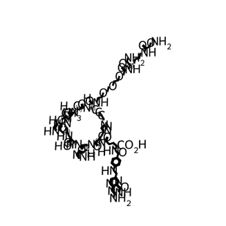 C[C@H](O)[C@H]1NC(=O)[C@@H](Cc2cnc[nH]2)NC(=O)[C@@H](CO)NC(=O)[C@@H](Cc2cnc[nH]2)NC(=O)[C@@H](NC(=O)CC[C@H](NC(=O)c2ccc(NCc3cnc4nc(N)[nH]c(=O)c4n3)cc2)C(=O)O)Cc2cn(nn2)CCCC[C@@H](C(=O)NCCOCCOCCOCC(=O)N[C@@H](CCCCNC(=O)CON)C(N)=O)NC(=O)[C@@H](C)NC1=O